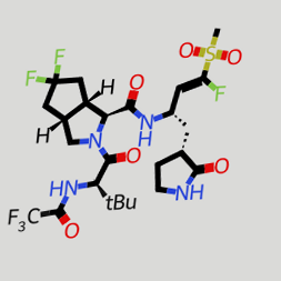 CC(C)(C)[C@@H](NC(=O)C(F)(F)F)C(=O)N1C[C@@H]2CC(F)(F)C[C@@H]2[C@H]1C(=O)N[C@H](/C=C(\F)S(C)(=O)=O)C[C@H]1CCNC1=O